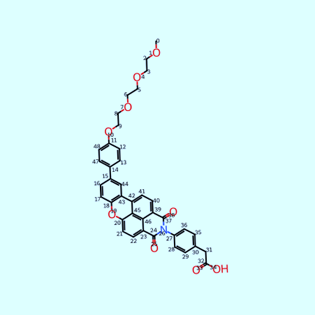 COCCOCCOCCOc1ccc(-c2ccc3oc4ccc5c(=O)n(-c6ccc(CC(=O)O)cc6)c(=O)c6ccc(c3c2)c4c56)cc1